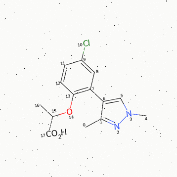 Cc1nn(C)cc1-c1cc(Cl)ccc1OC(C)C(=O)O